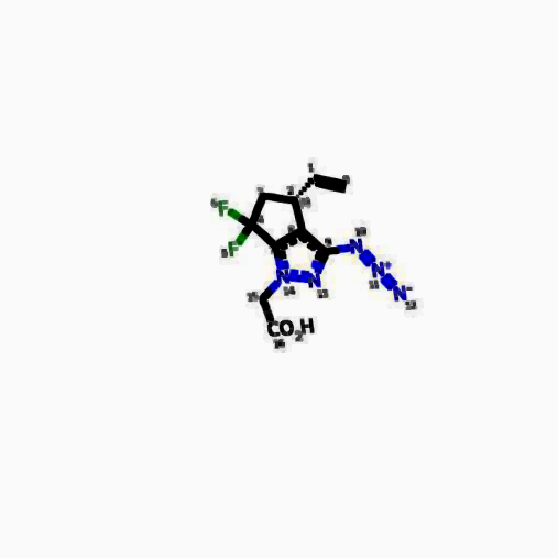 C=C[C@H]1CC(F)(F)c2c1c(N=[N+]=[N-])nn2CC(=O)O